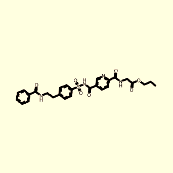 CCCOC(=O)CNC(=O)c1ccc(C(=O)NS(=O)(=O)c2ccc(CCNC(=O)c3ccccc3)cc2)cn1